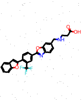 O=C(O)CCNCc1ccc2nc(-c3ccc(-c4cc5ccccc5o4)c(C(F)(F)F)c3)oc2c1